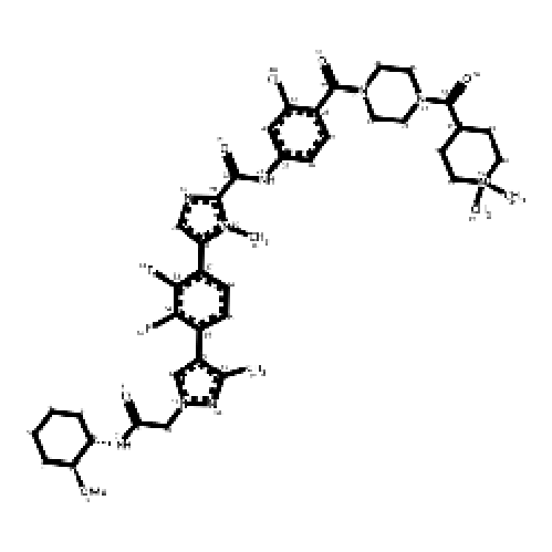 CO[C@H]1CCCC[C@@H]1NC(=O)Cn1cc(-c2ccc(-c3cnc(C(=O)Nc4ccc(C(=O)N5CCN(C(=O)C6CC[N+](C)(C)CC6)CC5)c(Cl)c4)n3C)c(F)c2F)c(C)n1